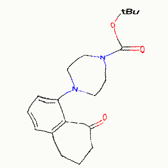 CC(C)(C)OC(=O)N1CCN(c2cccc3c2C(=O)CCC3)CC1